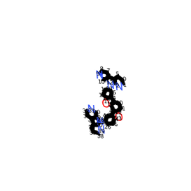 c1cnc2c(c1)c1ccncc1n2-c1ccc2oc3c(ccc4oc5ccc(-n6c7cnccc7c7cccnc76)cc5c43)c2c1